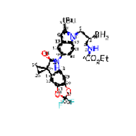 B[C@@H](CNC(=O)OCC)Cn1c(C(C)(C)C)cc2cc(NC(=O)C3(c4ccc5c(c4)OC(F)(F)O5)CC3)ccc21